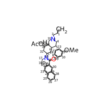 C=CCN1CC[C@@]2(c3cccc(OC)c3)C[C@H](N(CC(C)C)C(=O)c3ccc4ccccc4c3)CC(OC(C)=O)[C@@H]2C1